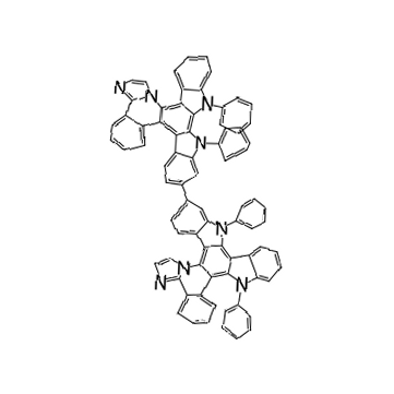 c1ccc(-n2c3ccccc3c3c2c2c4ccccc4c4nccn4c2c2c4ccc(-c5ccc6c7c8c9ccccc9c9nccn9c8c8c9ccccc9n(-c9ccccc9)c8c7n(-c7ccccc7)c6c5)cc4n(-c4ccccc4)c32)cc1